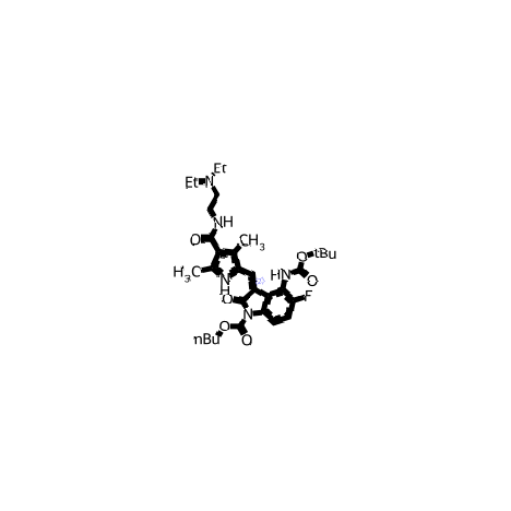 CCCCOC(=O)N1C(=O)/C(=C\c2[nH]c(C)c(C(=O)NCCN(CC)CC)c2C)c2c1ccc(F)c2NC(=O)OC(C)(C)C